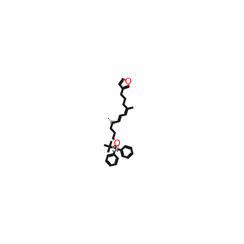 CC(=CC=C[C@@H](C)CCCO[Si](c1ccccc1)(c1ccccc1)C(C)(C)C)CCCc1ccoc1